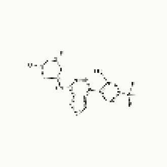 CN1C[C@H](F)C[C@@H](Nc2nnc(-c3ccc(C(F)(F)F)cc3O)n3ccnc23)C1